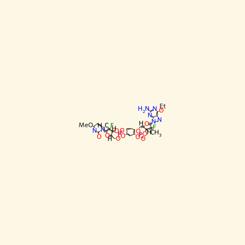 CCOc1nc(N)nc2c1ncn2[C@@H]1O[C@@H]2COP(=O)(Oc3cccc(OP4(=O)OC[C@H]5O[C@@H](n6ccc(OC)nc6=O)[C@](C)(F)[C@@H]5O4)c3)O[C@H]2[C@@]1(C)F